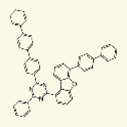 C1=CC(c2ccc(-c3ccc(-c4nc(-c5ccccc5)nc(-c5cccc6oc7c(-c8ccc(-c9ccccc9)cc8)cccc7c56)n4)cc3)cc2)=CCC1